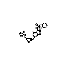 C=CS(=O)(=O)NCc1cnn(Cc2cc(C)c3c(NS(=O)(=O)CC4CCCCC4)noc3c2)c1